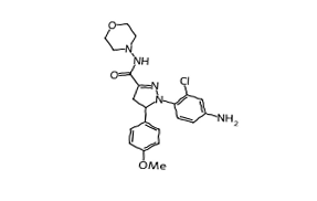 COc1ccc(C2CC(C(=O)NN3CCOCC3)=NN2c2ccc(N)cc2Cl)cc1